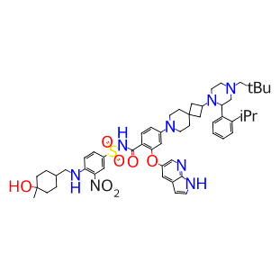 CC(C)c1ccccc1C1CN(CC(C)(C)C)CCN1C1CC2(CCN(c3ccc(C(=O)NS(=O)(=O)c4ccc(NCC5CCC(C)(O)CC5)c([N+](=O)[O-])c4)c(Oc4cnc5[nH]ccc5c4)c3)CC2)C1